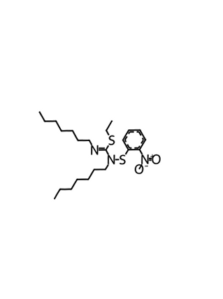 CCCCCCCN=C(SCC)N(CCCCCCC)Sc1ccccc1[N+](=O)[O-]